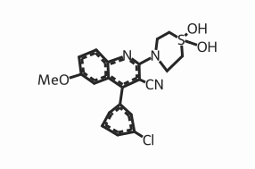 COc1ccc2nc(N3CCS(O)(O)CC3)c(C#N)c(-c3cccc(Cl)c3)c2c1